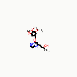 COc1cc(COc2cc(CCC(C)O)nc3ccnn23)cc(OC)c1OC